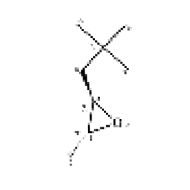 C[C@H]1O[C@@H]1CC(C)(C)C